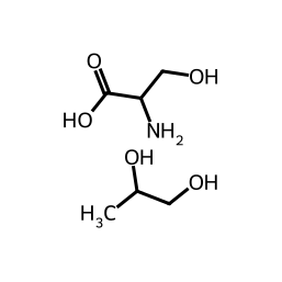 CC(O)CO.NC(CO)C(=O)O